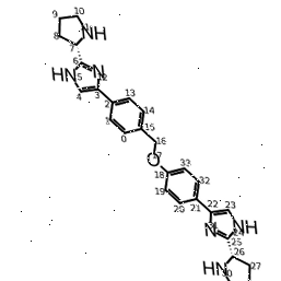 c1cc(-c2c[nH]c([C@@H]3CCCN3)n2)ccc1COc1ccc(-c2c[nH]c([C@@H]3CCCN3)n2)cc1